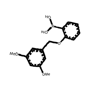 COc1cc(COc2ccccc2B(O)O)cc(OC)c1